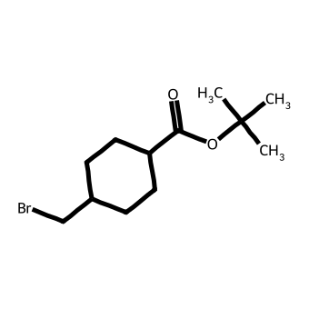 CC(C)(C)OC(=O)C1CCC(CBr)CC1